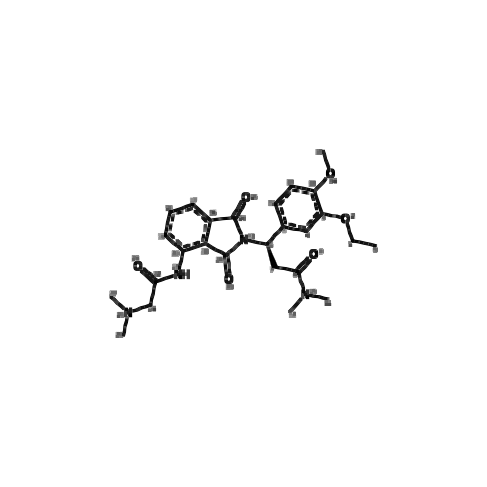 CCOc1cc([C@@H](CC(=O)N(C)C)N2C(=O)c3cccc(NC(=O)CN(C)C)c3C2=O)ccc1OC